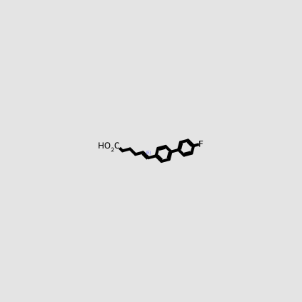 O=C(O)CCC/C=C/c1ccc(-c2ccc(F)cc2)cc1